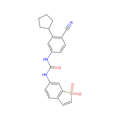 N#Cc1ccc(NC(=O)Nc2ccc3c(c2)S(=O)(=O)C=C3)cc1C1CCCC1